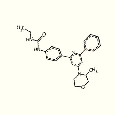 CCNC(=O)Nc1ccc(-c2cc(N3CCOCC3C)nc(-c3ccccc3)n2)cc1